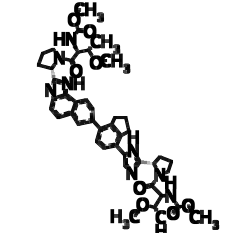 COC(=O)N[C@H](C(=O)N1CCC[C@H]1c1ncc(-c2ccc(-c3ccc4c(ccc5nc([C@@H]6CCCN6C(=O)[C@@H](NC(=O)OC)[C@@H](C)OC)[nH]c54)c3)c3c2CCC3)[nH]1)[C@@H](C)OC